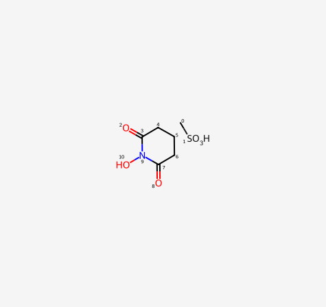 CS(=O)(=O)O.O=C1CCCC(=O)N1O